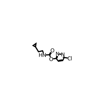 O=C(NCCC1CC1)Oc1ccc(Cl)nn1